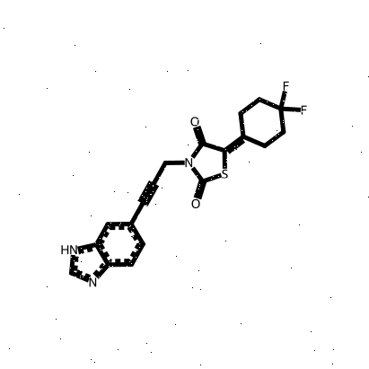 O=C1SC(=C2CCC(F)(F)CC2)C(=O)N1CC#Cc1ccc2nc[nH]c2c1